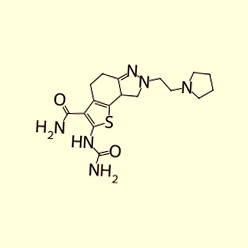 NC(=O)Nc1sc2c(c1C(N)=O)CCC1=NN(CCN3CCCC3)CC12